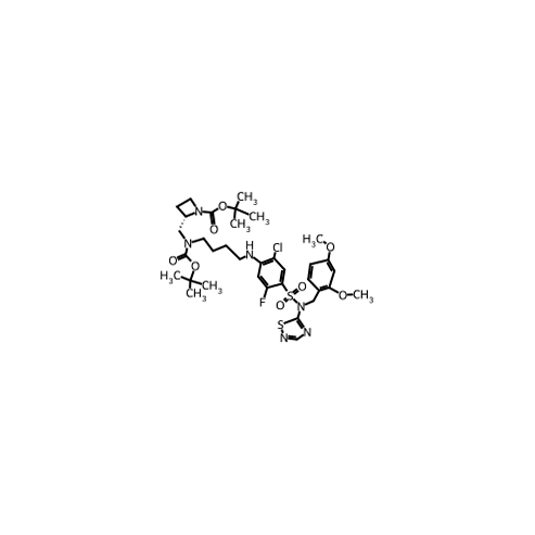 COc1ccc(CN(c2ncns2)S(=O)(=O)c2cc(Cl)c(NCCCCN(C[C@@H]3CCN3C(=O)OC(C)(C)C)C(=O)OC(C)(C)C)cc2F)c(OC)c1